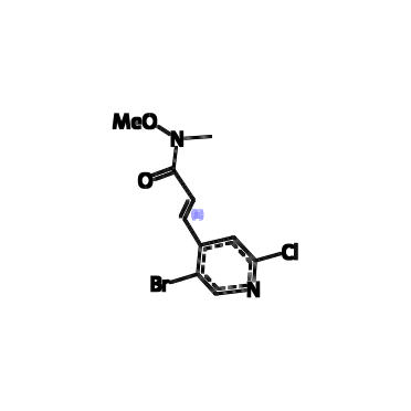 CON(C)C(=O)/C=C/c1cc(Cl)ncc1Br